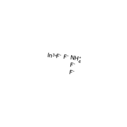 [F-].[F-].[F-].[F-].[In+3].[NH4+]